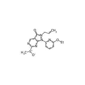 C=CCn1c(=O)c2cnc([S+](C)[O-])nc2n1-c1cccc(OCC)n1